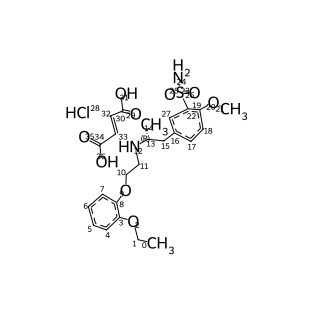 CCOc1ccccc1OCCN[C@H](C)Cc1ccc(OC)c(S(N)(=O)=O)c1.Cl.O=C(O)C=CC(=O)O